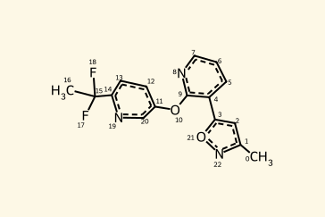 Cc1cc(-c2cccnc2Oc2ccc(C(C)(F)F)nc2)on1